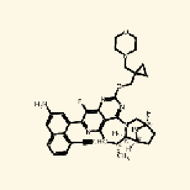 C#Cc1cccc2cc(N)cc(-c3nc4c5c(nc(OCC6(CN7CCOCC7)CC6)nc5c3F)N3C[C@H]5CC[C@H](N5)[C@H]3[C@H](C)O4)c12